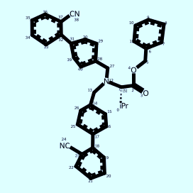 CC(C)[C@@H](C(=O)OCc1ccccc1)N(Cc1ccc(-c2ccccc2C#N)cc1)Cc1ccc(-c2ccccc2C#N)cc1